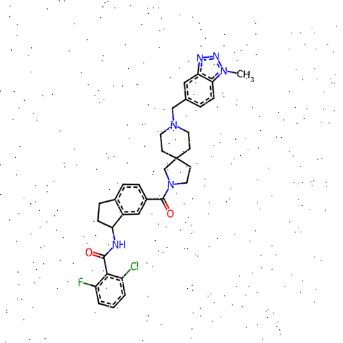 Cn1nnc2cc(CN3CCC4(CC3)CCN(C(=O)c3ccc5c(c3)C(NC(=O)c3c(F)cccc3Cl)CC5)C4)ccc21